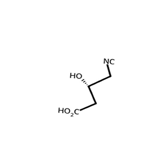 [C-]#[N+]C[C@@H](O)CC(=O)O